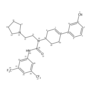 N#Cc1cccc(C2=CCC(N(CCN3CCCC3)C(=O)Nc3cc(C(F)(F)F)cc(C(F)(F)F)c3)CC2)c1